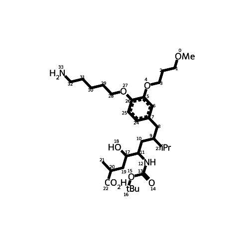 COCCCOc1cc(CC(CC(NC(=O)OC(C)(C)C)C(O)CC(C)C(=O)O)C(C)C)ccc1OCCCCCN